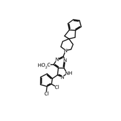 O=C(O)c1nc(N2CCC3(CC2)Cc2ccccc2C3)nc2[nH]nc(-c3cccc(Cl)c3Cl)c12